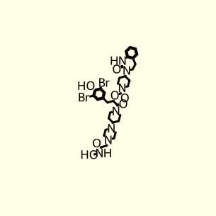 O=C(CN1CCN(C2CCN(C(=O)C(Cc3cc(Br)c(O)c(Br)c3)OC(=O)N3CCC(N4CCc5ccccc5NC4=O)CC3)CC2)CC1)NO